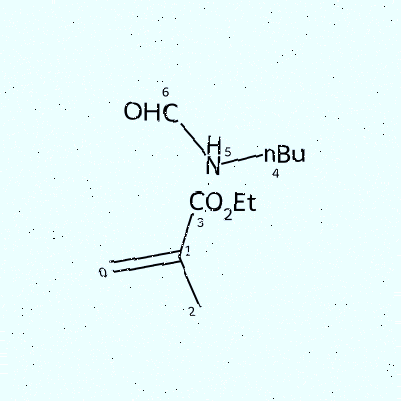 C=C(C)C(=O)OCC.CCCCNC=O